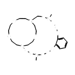 CN1CCOc2ccccc2OCCN(C)CCN2CCOCCOCCN(CCOCC2)CC1